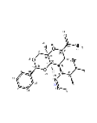 C/N=N\N([C@H](C)C(C)Br)[C@@H]1C[C@H](C(N)=O)O[C@@H]2CO[C@H](c3ccccc3)O[C@H]12